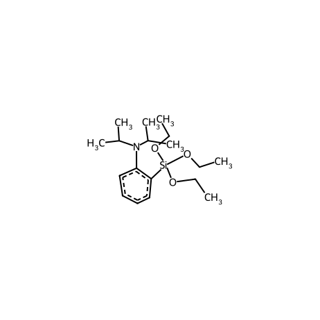 CCO[Si](OCC)(OCC)c1ccccc1N(C(C)C)C(C)C